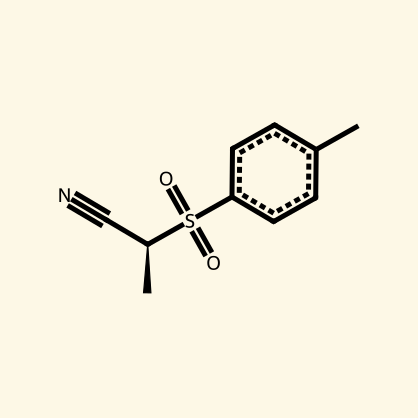 Cc1ccc(S(=O)(=O)[C@@H](C)C#N)cc1